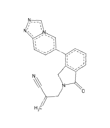 C=C(C#N)CN1Cc2c(cccc2-c2ccc3nncn3c2)C1=O